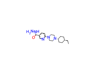 CC[C@H]1CC[C@H](N2CCN(c3ccc(C(=O)NN)cn3)CC2)CC1